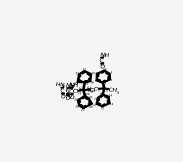 CC(C)(c1ccccc1)c1ccccc1.ClC(Cl)(c1ccccc1)c1ccccc1.N=C=O.N=C=O.N=C=O.N=C=O